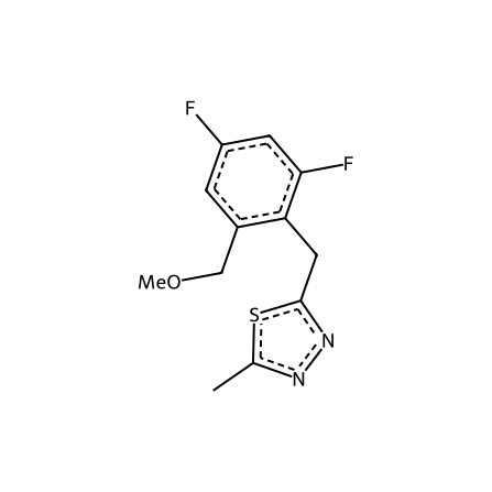 COCc1cc(F)cc(F)c1Cc1nnc(C)s1